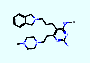 CCCCNc1nc(N)nc(CCN2CCN(C)CC2)c1CCCN1Cc2ccccc2C1